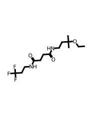 CCOC(C)(C)CCNC(=O)CCC(=O)NCCC(F)(F)F